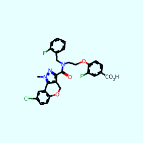 Cn1nc(C(=O)N(CCOc2ccc(C(=O)O)cc2F)Cc2ccccc2F)c2c1-c1cc(Cl)ccc1OC2